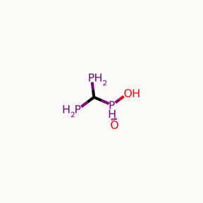 O=[PH](O)C(P)P